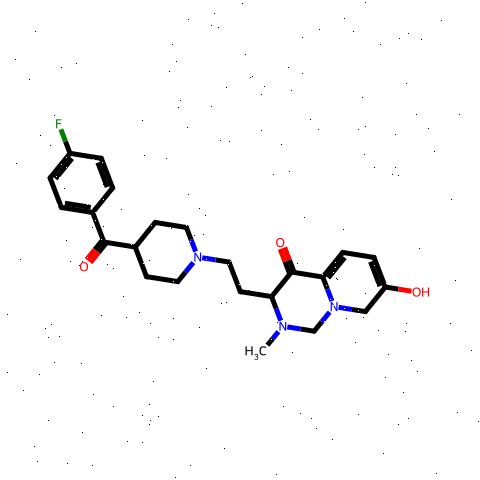 CN1CN2CC(O)=CC=C2C(=O)C1CCN1CCC(C(=O)c2ccc(F)cc2)CC1